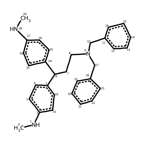 CNc1ccc(C(CCN(Cc2ccccc2)Cc2ccccc2)c2ccc(NC)cc2)cc1